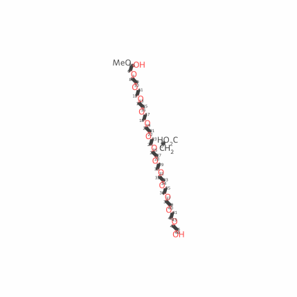 C=CC(=O)O.COC(O)COCCOCCOCCOCCOCCOCCOCCOCCOCCOCCOCCOCCOCCO